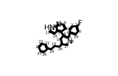 Fc1ccc(C2=C(c3ccnc4[nH]ccc34)CC(CCCc3ccccc3)C=N2)cc1